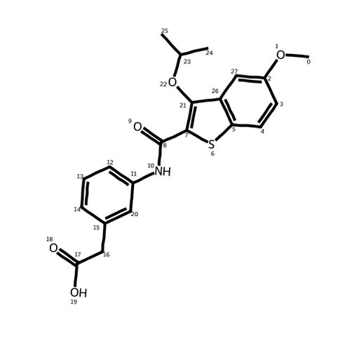 COc1ccc2sc(C(=O)Nc3cccc(CC(=O)O)c3)c(OC(C)C)c2c1